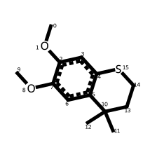 COc1cc2c(cc1OC)C(C)(C)CCS2